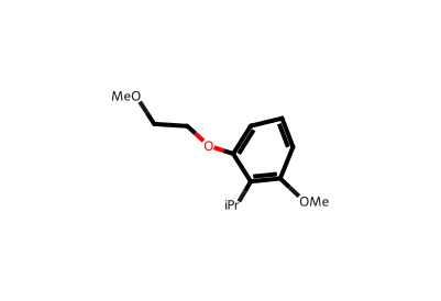 COCCOc1cccc(OC)c1C(C)C